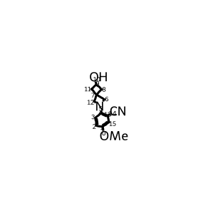 COc1ccc(N2CC3(CC(O)C3)C2)c(C#N)c1